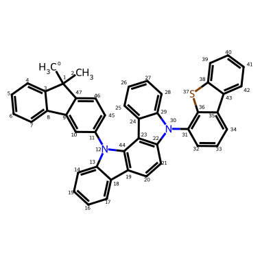 CC1(C)c2ccccc2-c2cc(-n3c4ccccc4c4ccc5c(c6ccccc6n5-c5cccc6c5sc5ccccc56)c43)ccc21